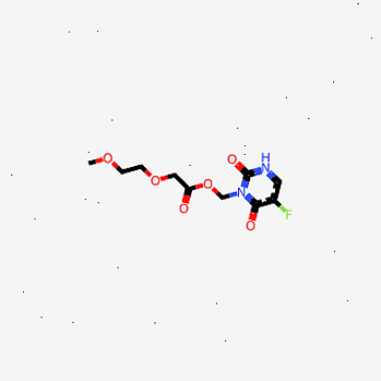 COCCOCC(=O)OCn1c(=O)[nH]cc(F)c1=O